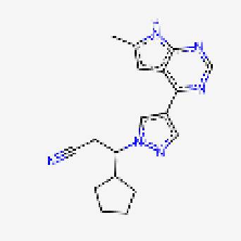 Cc1cc2c(-c3cnn(C(CC#N)C4CCCC4)c3)ncnc2[nH]1